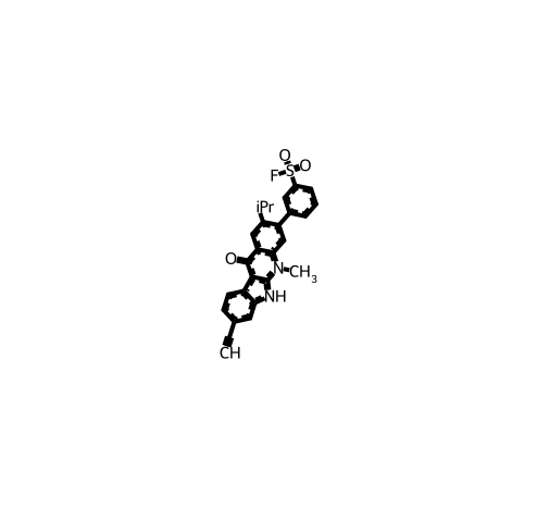 C#Cc1ccc2c(c1)[nH]c1c2c(=O)c2cc(C(C)C)c(-c3cccc(S(=O)(=O)F)c3)cc2n1C